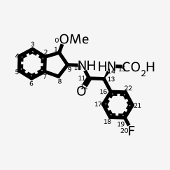 COC1c2ccccc2CC1NC(=O)[C@@H](NC(=O)O)c1ccc(F)cc1